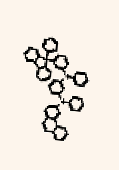 c1ccc(N(c2cccc(N(c3ccccc3)c3ccc4ccc5ccccc5c4c3)c2)c2cccc(C3(c4ccccc4)c4ccccc4-c4ccccc43)c2)cc1